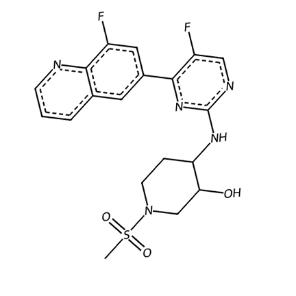 CS(=O)(=O)N1CCC(Nc2ncc(F)c(-c3cc(F)c4ncccc4c3)n2)C(O)C1